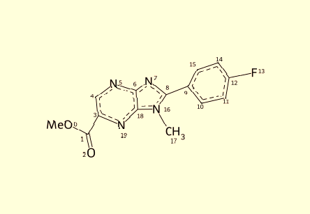 COC(=O)c1cnc2nc(-c3ccc(F)cc3)n(C)c2n1